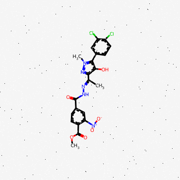 COC(=O)c1ccc(C(=O)N/N=C(\C)c2nn(C)c(-c3ccc(Cl)c(Cl)c3)c2O)cc1[N+](=O)[O-]